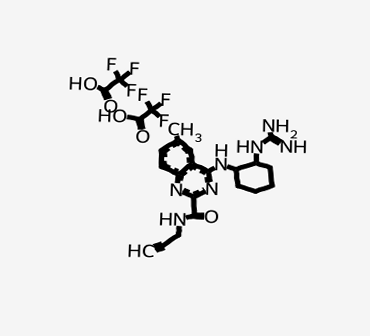 C#CCNC(=O)c1nc(NC2CCCCC2NC(=N)N)c2cc(C)ccc2n1.O=C(O)C(F)(F)F.O=C(O)C(F)(F)F